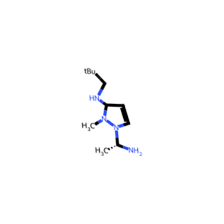 C[C@@H](N)N1C=CC(NCC(C)(C)C)N1C